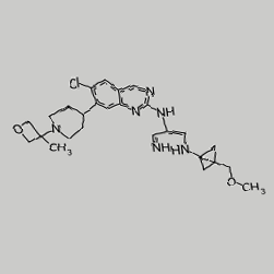 COCC12CC1(N/C=C(\C=N)Nc1ncc3cc(Cl)c(C4CCN(C5(C)COC5)CC4)cc3n1)C2